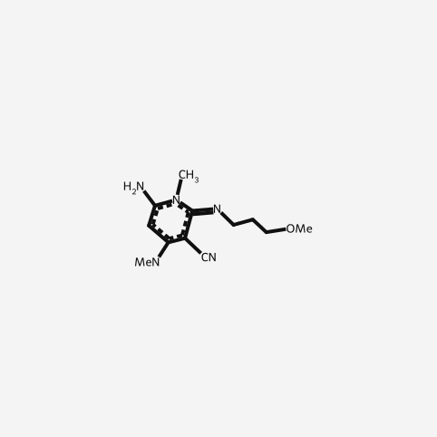 CNc1cc(N)n(C)c(=NCCCOC)c1C#N